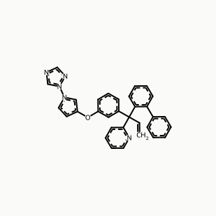 C=CC(c1cccc(Oc2ccn(-n3cncn3)c2)c1)(c1ccccn1)c1ccccc1-c1ccccc1